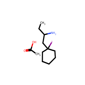 CC(=O)O.CCC(N)CC1(I)CCCCC1